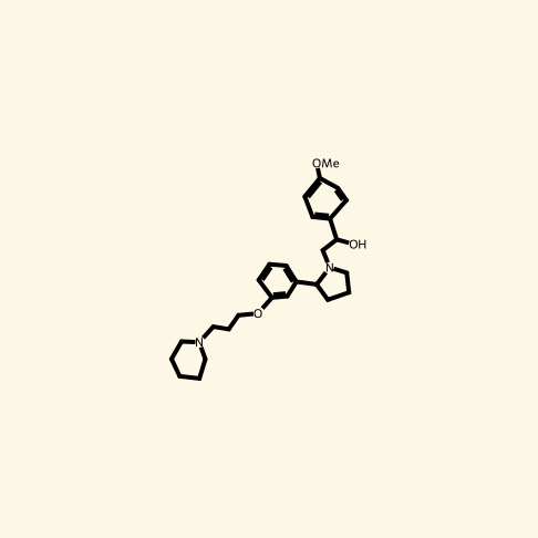 COc1ccc(C(O)CN2CCCC2c2cccc(OCCCN3CCCCC3)c2)cc1